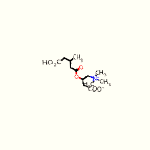 CC(CC(=O)O)CC(=O)O[C@H](CC(=O)[O-])C[N+](C)(C)C